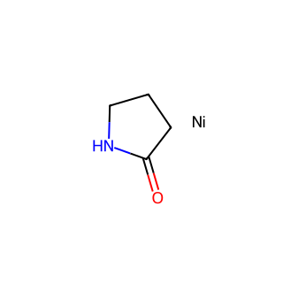 O=C1CCCN1.[Ni]